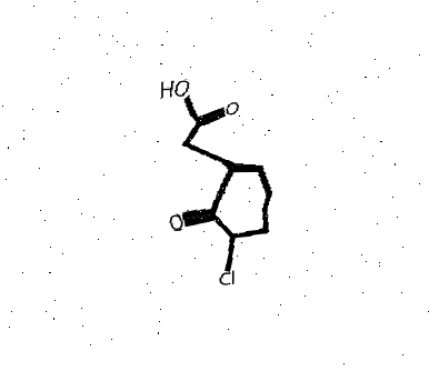 O=C(O)CC1CCCC(Cl)C1=O